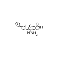 Cc1cc2c(cc1-c1cc(-c3ccc(N4CCOCC4)cc3)cnc1N)CCNC2=O